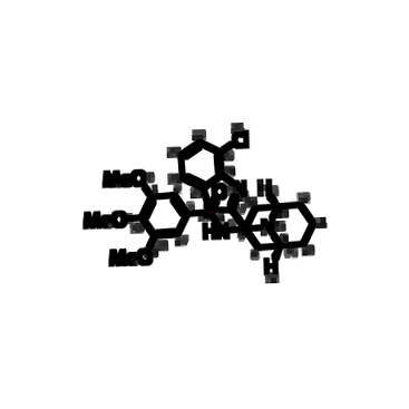 COc1cc(C(=O)NC2C[C@H]3CCC[C@@H](C2)N3Cc2nc3c(Cl)cccc3s2)cc(OC)c1OC